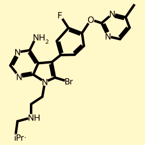 C[C](C)CNCCn1c(Br)c(-c2ccc(Oc3nccc(C)n3)c(F)c2)c2c(N)ncnc21